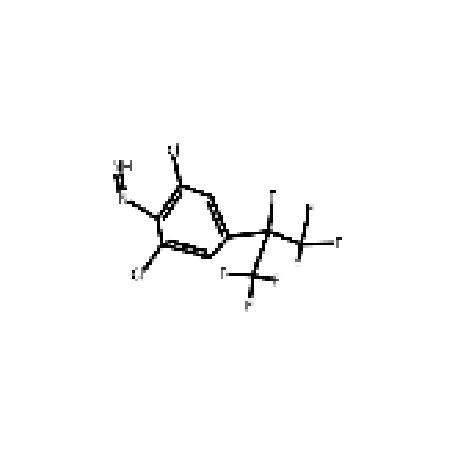 N=Nc1c(Cl)cc(C(F)(C(F)(F)F)C(F)(F)F)cc1Cl